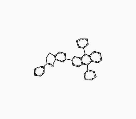 c1ccc(C2=Nc3cc(-c4ccc5c(-c6ccccc6)c6ccccc6c(-c6ccccc6)c5c4)ccc3CC2)cc1